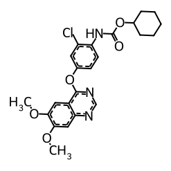 COc1cc2ncnc(Oc3ccc(NC(=O)OC4CCCCC4)c(Cl)c3)c2cc1OC